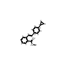 COC(=O)c1ccccc1C=Cc1ccc(C2CC2)cc1